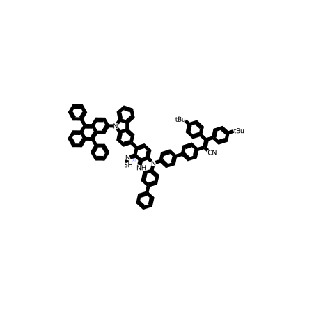 CC(C)(C)c1ccc(C(=C(C#N)c2ccc(-c3ccc(N(C4=CC=C(c5ccc6c(c5)c5ccccc5n6-c5ccc6c(-c7ccccc7)c7ccccc7c(-c7ccccc7)c6c5)/C(=N/S)C4=N)c4ccc(-c5ccccc5)cc4)cc3)cc2)c2ccc(C(C)(C)C)cc2)cc1